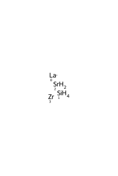 [La].[SiH4].[SrH2].[Zr]